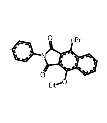 CCCc1c2c(c(OCC)c3ccccc13)C(=O)N(c1cc[c]cc1)C2=O